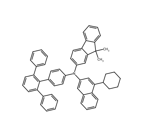 CC1(C)c2ccccc2-c2ccc(N(c3ccc(-c4c(-c5ccccc5)cccc4-c4ccccc4)cc3)c3cc(C4CCCCC4)c4ccccc4c3)cc21